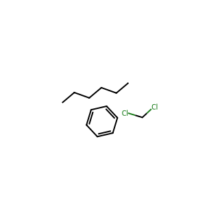 CCCCCC.ClCCl.c1ccccc1